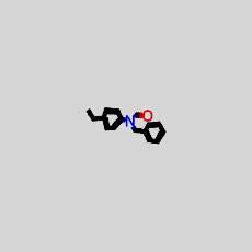 CCc1ccc(N(C=O)Cc2ccccc2)cc1